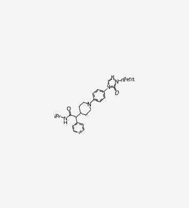 CCCCCn1ncn(-c2ccc(N3CCC(C(C(=O)NC(C)C)c4ccccc4)CC3)cc2)c1=O